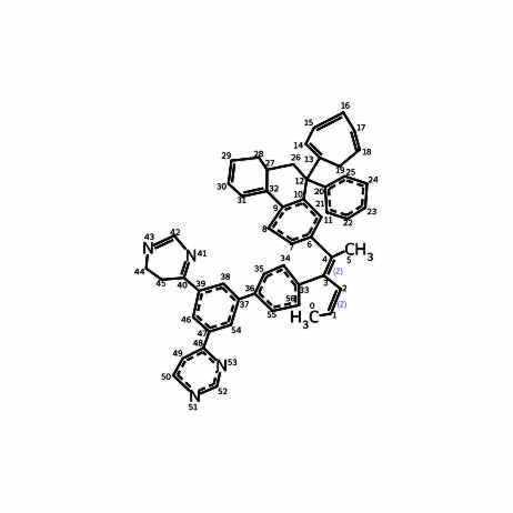 C/C=C\C(=C(/C)c1ccc2c(c1)C(C1=CC=CC=CC1)(c1ccccc1)CC1CC=CC=C21)c1ccc(-c2cc(C3=NC=NCC3)cc(-c3ccncn3)c2)cc1